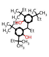 CCC(c1cc(C(C)(C)CC)cc(C(C)(C)CC)c1O)c1cc(C(C)(C)CC)cc(C(C)(C)CC)c1O